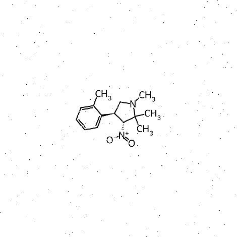 Cc1ccccc1[C@H]1CN(C)C(C)(C)[C@@H]1[N+](=O)[O-]